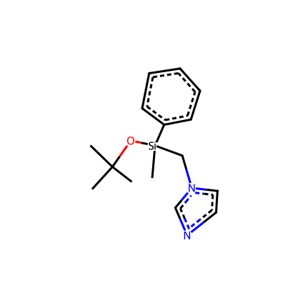 CC(C)(C)O[Si](C)(Cn1ccnc1)c1ccccc1